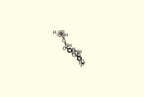 Cn1c(Nc2nc3ccc(OC(F)(F)F)cc3s2)nc2cc(C(=O)NCCOCCNS(C)(=O)=O)ccc21